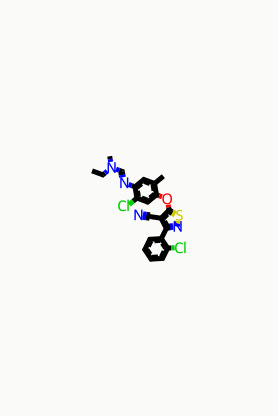 CCN(C)C=Nc1cc(C)c(Oc2snc(-c3ccccc3Cl)c2C#N)cc1Cl